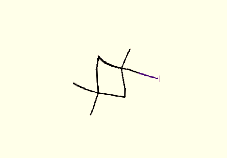 CC1(C)CC(C)(I)C1